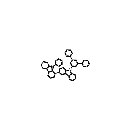 C1=Cc2c(c3cccc(-c4ccc5c(c4)c4ccccc4n5-c4cc(-c5ccccc5)cc(-c5ccccc5)c4)c3n2-c2ccccc2)CC1